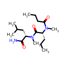 CCCC(=O)N(C)[C@H](CCC)C(=O)N(C)[C@@H](CC(C)C)C(N)=O